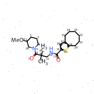 COC1CCCN(C(=O)C(C)(C)CNC(=O)c2cc3c(s2)CCCCCC3)C1